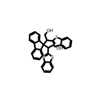 OCC(c1nc2ccccc2s1)C1(C(CO)c2nc3ccccc3s2)c2ccccc2-c2ccccc21